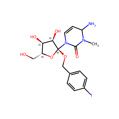 CN1C(=O)N([C@]2(OCc3ccc(I)cc3)O[C@H](CO)[C@@H](O)[C@H]2O)C=CC1N